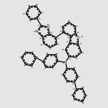 c1ccc(-c2ccc(N(c3ccc(-c4ccccc4)cc3)c3ccc4oc5cccc(-c6cccc7nc(-c8ccccc8)oc67)c5c4c3)cc2)cc1